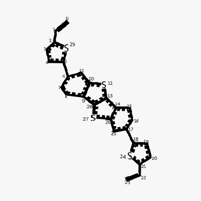 C=Cc1ccc(-c2ccc3c(c2)sc2c4ccc(-c5ccc(C=C)s5)cc4sc32)s1